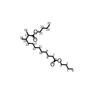 CCCCOC(=O)CCCCCCCCC(C)C(C)C(=O)OCCCC